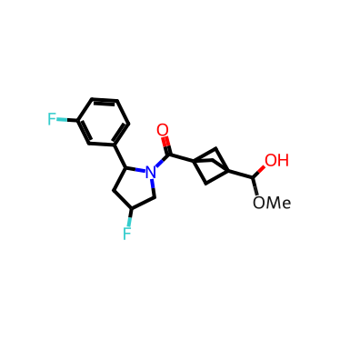 COC(O)C12CC(C(=O)N3CC(F)CC3c3cccc(F)c3)(C1)C2